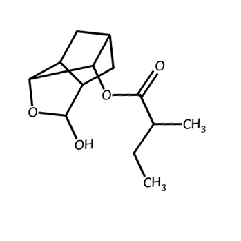 CCC(C)C(=O)OC1C2CC3C(O)OC1C3C2